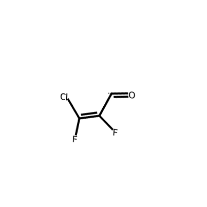 O=[C]C(F)=C(F)Cl